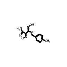 Cc1ccc(CN/C(=N\O)c2nonc2N)cc1